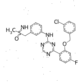 CS(=N)(=O)Cc1cccc(Nc2ncnc(-c3ccc(F)cc3OCc3cccc(Cl)c3)n2)c1